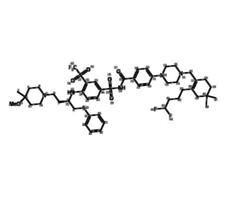 COC1(C)CCN(CC[C@H](CSc2ccccc2)Nc2ccc(S(=O)(=O)NC(=O)c3ccc(N4CCN(CC5=C(CCCC(F)F)CC(C)(C)CC5)CC4)cc3)cc2S(=O)(=O)C(F)(F)F)CC1